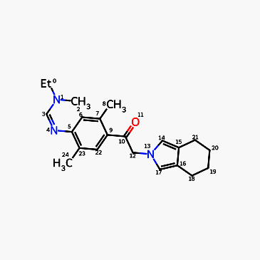 CCN(C)/C=N\c1cc(C)c(C(=O)Cn2cc3c(c2)CCCC3)cc1C